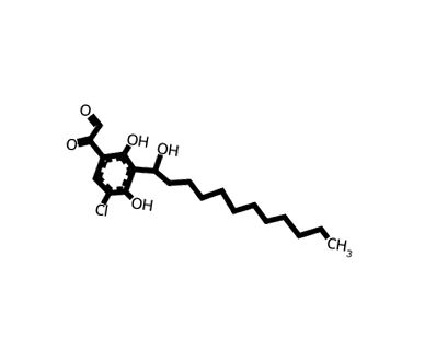 CCCCCCCCCCCC(O)c1c(O)c(Cl)cc(C(=O)C=O)c1O